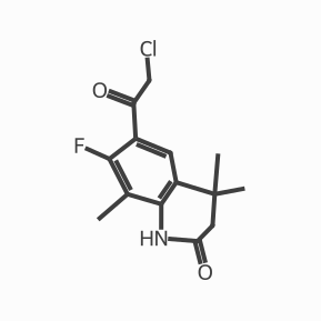 Cc1c(F)c(C(=O)CCl)cc2c1NC(=O)CC2(C)C